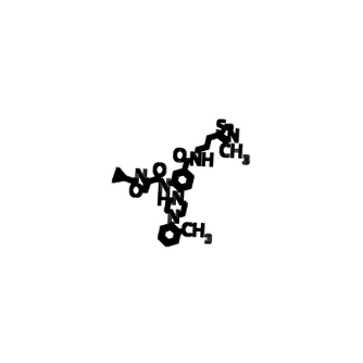 Cc1ccccc1N1CCN(c2ccc(C(=O)NCCCc3scnc3C)cc2NC(=O)c2coc(C3CC3)n2)CC1